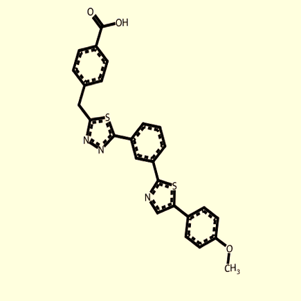 COc1ccc(-c2cnc(-c3cccc(-c4nnc(Cc5ccc(C(=O)O)cc5)s4)c3)s2)cc1